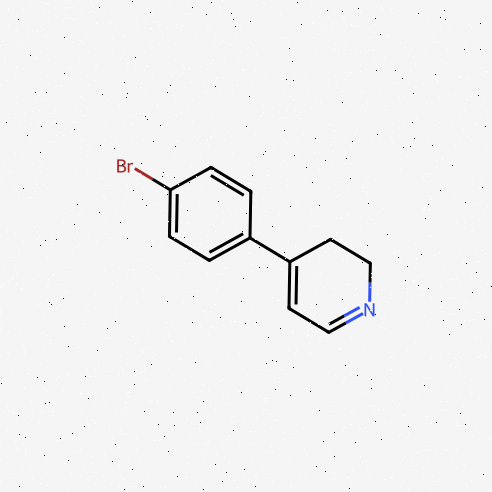 Brc1ccc(C2=CC=NCC2)cc1